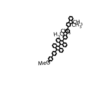 COc1ccc(-c2ccc(-c3c4ccccc4c(-c4c5ccccc5c(-c5ccc6c(c5)C(C)(C)c5cc(-c7ccc8c(c7)C(C)(C)c7ccccc7-8)ccc5-6)c5ccccc45)c4ccccc34)cc2)cc1